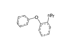 CCCc1ccccc1Oc1ccccc1